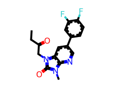 CCC(=O)Cn1c(=O)n(C)c2ncc(-c3ccc(F)c(F)c3)cc21